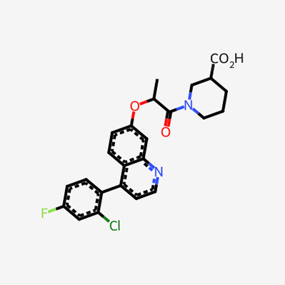 CC(Oc1ccc2c(-c3ccc(F)cc3Cl)ccnc2c1)C(=O)N1CCCC(C(=O)O)C1